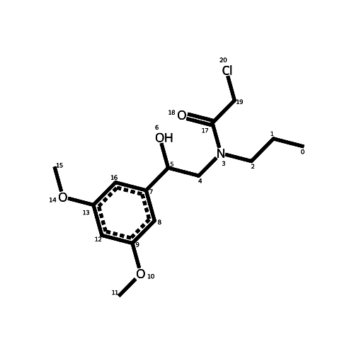 CCCN(CC(O)c1cc(OC)cc(OC)c1)C(=O)CCl